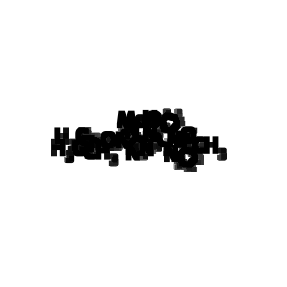 COc1cccc(-n2c(CCNc3ncnc4c3ncn4COCC[Si](C)(C)C)nc3cccc(C)c3c2=O)c1